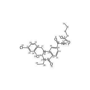 CCCCS(=O)(=O)NC(=O)c1ccc2c(c1)N(Cc1ccc(Cl)cc1Cl)CN(CC)C2=O